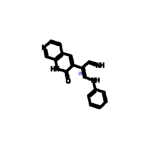 N=C/C(=C\Nc1ccccc1)c1cc2ccncc2[nH]c1=O